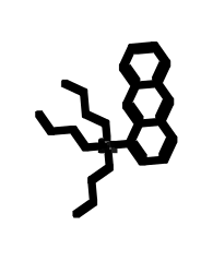 CCC[CH2][Sn]([CH2]CCC)([CH2]CCC)[c]1cccc2cc3ccccc3cc12